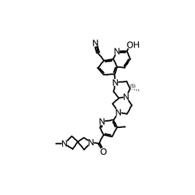 Cc1cc(C(=O)N2CC3(CN(C)C3)C2)cnc1N1CCN2C(C1)CN(c1ccc(C#N)c3nc(O)ccc13)C[C@@H]2C